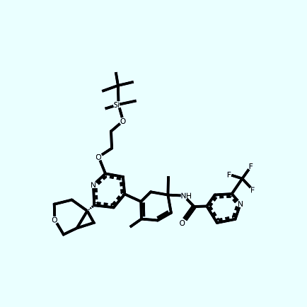 CC1=C(c2cc(OCCO[Si](C)(C)C(C)(C)C)nc([C@@]34CCOCC3C4)c2)CC(C)(NC(=O)c2ccnc(C(F)(F)F)c2)C=C1